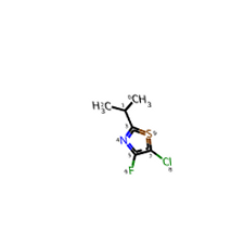 CC(C)c1nc(F)c(Cl)s1